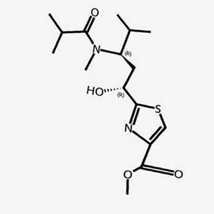 COC(=O)c1csc([C@H](O)C[C@H](C(C)C)N(C)C(=O)C(C)C)n1